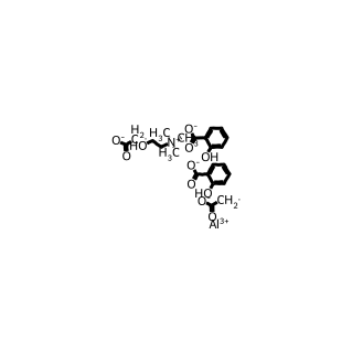 C[N+](C)(C)CCO.O=C([O-])c1ccccc1O.O=C([O-])c1ccccc1O.[Al+3].[CH2]C(=O)[O-].[CH2]C(=O)[O-]